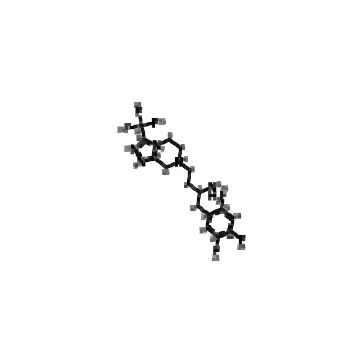 NC(CCN1CCn2c(nnc2C(F)(F)F)C1)Cc1cc(F)c(F)cc1F